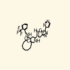 Cn1c(CNC2CC(C(=O)NCc3ccccc3C(F)(F)F)C3(CCCCCCCCC3)CN2)nnc1-c1ccncn1